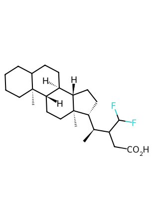 C[C@H](C(CC(=O)O)C(F)F)[C@H]1CC[C@H]2[C@@H]3CCC4CCCC[C@]4(C)[C@H]3CC[C@]12C